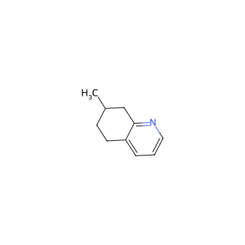 CC1CCc2cccnc2C1